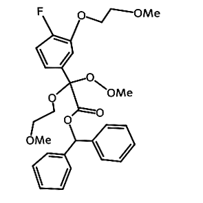 COCCOc1cc(C(OCCOC)(OOC)C(=O)OC(c2ccccc2)c2ccccc2)ccc1F